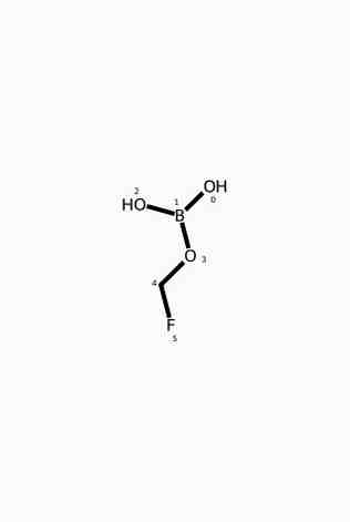 OB(O)OCF